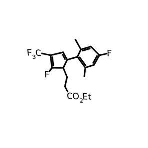 CCOC(=O)CCC1C(c2c(C)cc(F)cc2C)=CC(C(F)(F)F)=C1F